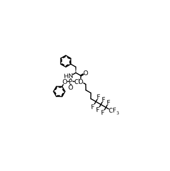 O=C(OCCCCC(F)(F)C(F)(F)C(F)(F)C(F)(F)F)[C@H](Cc1ccccc1)NP(=O)(Cl)Oc1ccccc1